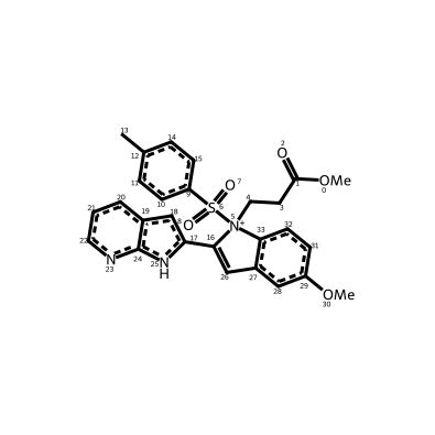 COC(=O)CC[N+]1(S(=O)(=O)c2ccc(C)cc2)C(c2cc3cccnc3[nH]2)=Cc2cc(OC)ccc21